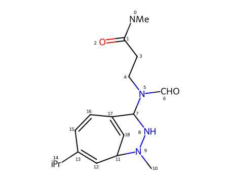 CNC(=O)CCN(C=O)C1NN(C)C2C=C(C(C)C)C=CC1=C2